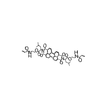 C=CC(=O)NCCOC(=O)C(CC(C)C)N1C(=O)c2ccc3c4ccc5c6c(ccc(c7ccc(c2c37)C1=O)c64)C(=O)N(C(CC(C)C)C(=O)OCCNC(=O)C=C)C5=O